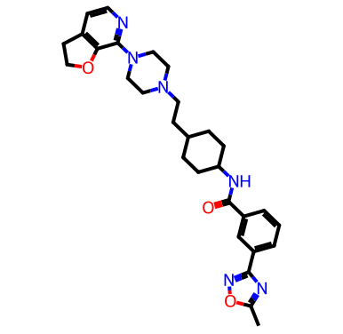 Cc1nc(-c2cccc(C(=O)NC3CCC(CCN4CCN(c5nccc6c5OCC6)CC4)CC3)c2)no1